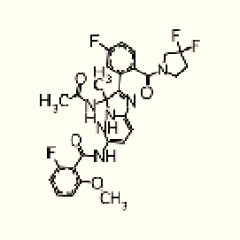 COc1cccc(F)c1C(=O)NC1=CC=C2N=C(c3cc(F)ccc3C(=O)N3CCC(F)(F)C3)C(C)(NC(C)=O)N2N1